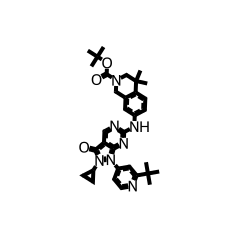 CC(C)(C)OC(=O)N1Cc2cc(Nc3ncc4c(=O)n(C5CC5)n(-c5ccnc(C(C)(C)C)c5)c4n3)ccc2C(C)(C)C1